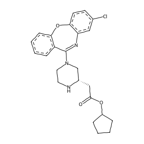 O=C(C[C@H]1CN(C2=Nc3cc(Cl)ccc3Oc3ccccc32)CCN1)OC1CCCC1